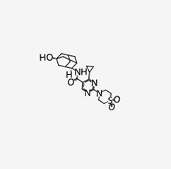 O=C(N[C@H]1C2CC3CC1C[C@@](O)(C3)C2)c1cnc(N2CCS(=O)(=O)CC2)nc1C1CC1